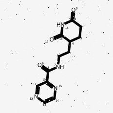 O=C1CCC(CCNC(=O)c2cnccn2)C(=O)N1